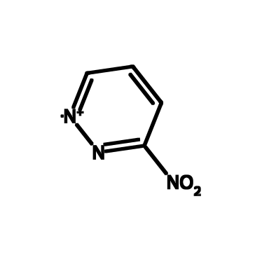 O=[N+]([O-])C1=N[N+]=CC=C1